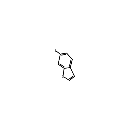 Ic1ccc2ccsc2c1